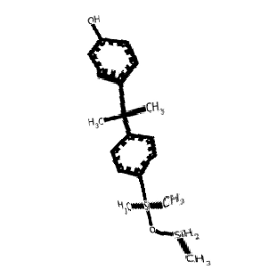 C[SiH2]O[Si](C)(C)c1ccc(C(C)(C)c2ccc(O)cc2)cc1